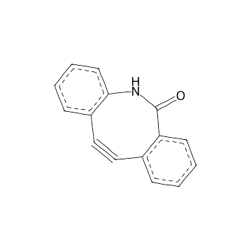 O=C1Nc2ccccc2C#Cc2ccccc21